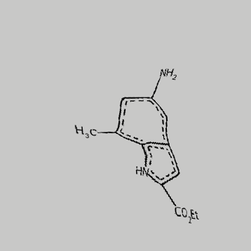 CCOC(=O)c1cc2cc(N)cc(C)c2[nH]1